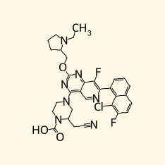 CCN1CCCC1COc1nc(N2CCN(C(=O)O)C(CC#N)C2)c2cnc(-c3cccc4ccc(F)c(Cl)c34)c(F)c2n1